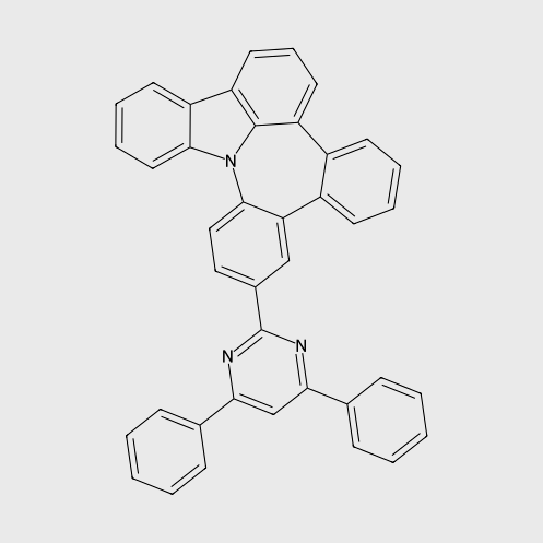 c1ccc(-c2cc(-c3ccccc3)nc(-c3ccc4c(c3)-c3ccccc3-c3cccc5c6ccccc6n-4c35)n2)cc1